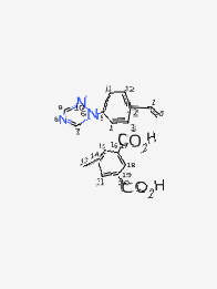 C=Cc1ccc(-n2cncn2)cc1.Cc1cc(C(=O)O)cc(C(=O)O)c1